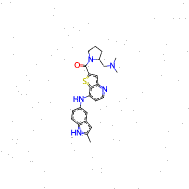 Cc1cc2cc(Nc3ccnc4cc(C(=O)N5CCCC5CN(C)C)sc34)ccc2[nH]1